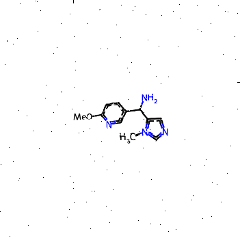 COc1ccc(C(N)c2cncn2C)cn1